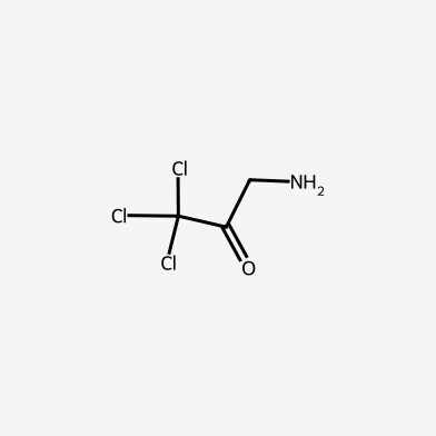 NCC(=O)C(Cl)(Cl)Cl